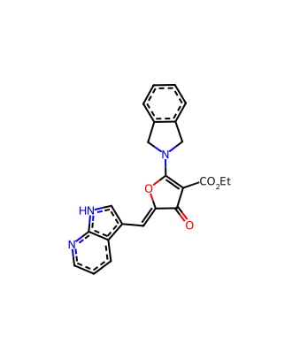 CCOC(=O)C1=C(N2Cc3ccccc3C2)OC(=Cc2c[nH]c3ncccc23)C1=O